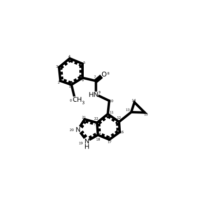 Cc1ccccc1C(=O)NCc1c(C2CC2)ccc2[nH]ncc12